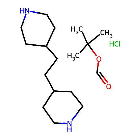 C1CC(CCC2CCNCC2)CCN1.CC(C)(C)OC=O.Cl